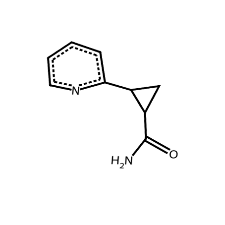 NC(=O)C1CC1c1ccccn1